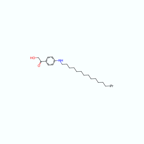 CC(C)CCCCCCCCCCCCCNc1ccc(C(=O)CO)cc1